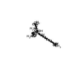 CS(=O)(=O)NCCCOCCOCCOCCCNCCO[C@@H]1[C@H](O)[C@@H](C[C@@H](N)CC[C@H](N)C(=O)O)O[C@H]1n1cnc2c(N)ncnc21